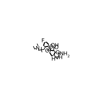 CCN(CC)CC(C)(C)Cc1cc(F)ccc1S(=O)(=O)c1ccc2c(c1C(=O)O)OC(N)[C@@H]1C[C@H]21